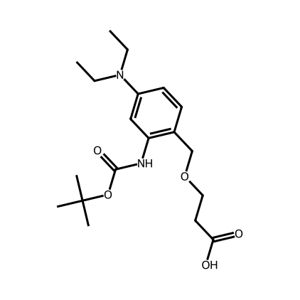 CCN(CC)c1ccc(COCCC(=O)O)c(NC(=O)OC(C)(C)C)c1